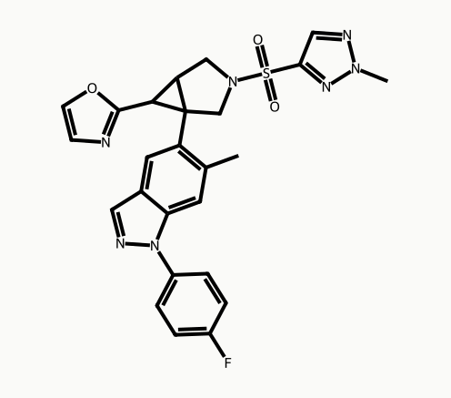 Cc1cc2c(cnn2-c2ccc(F)cc2)cc1C12CN(S(=O)(=O)c3cnn(C)n3)CC1C2c1ncco1